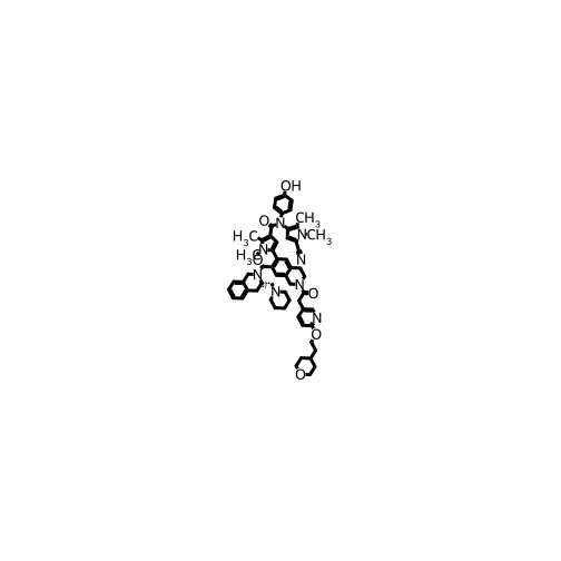 Cc1c(N(C(=O)c2cc(-c3cc4c(cc3C(=O)N3Cc5ccccc5C[C@H]3CN3CCCCC3)CN(C(=O)Cc3ccc(OCCC5CCOCC5)nc3)CC4)n(C)c2C)c2ccc(O)cc2)cc(C#N)n1C